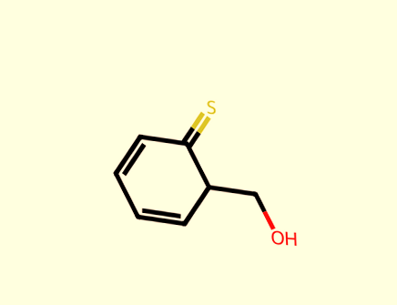 OCC1C=CC=CC1=S